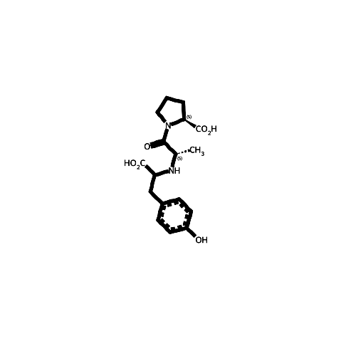 C[C@H](NC(Cc1ccc(O)cc1)C(=O)O)C(=O)N1CCC[C@H]1C(=O)O